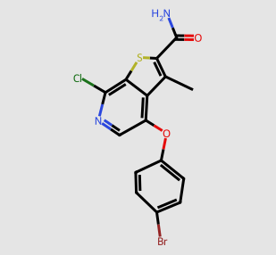 Cc1c(C(N)=O)sc2c(Cl)ncc(Oc3ccc(Br)cc3)c12